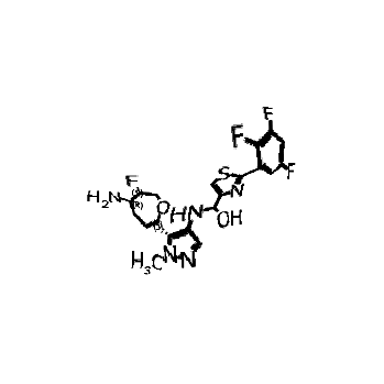 Cn1ncc(NC(O)c2csc(-c3cc(F)cc(F)c3F)n2)c1[C@@H]1CC[C@@H](N)[C@H](F)CO1